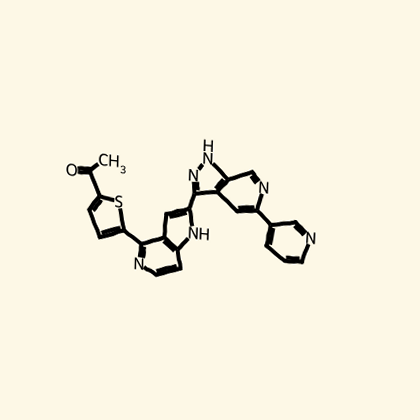 CC(=O)c1ccc(-c2nccc3[nH]c(-c4n[nH]c5cnc(-c6cccnc6)cc45)cc23)s1